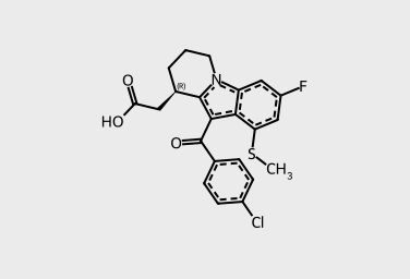 CSc1cc(F)cc2c1c(C(=O)c1ccc(Cl)cc1)c1n2CCC[C@@H]1CC(=O)O